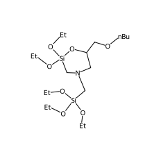 CCCCOCC1CN(C[Si](OCC)(OCC)OCC)C[Si](OCC)(OCC)O1